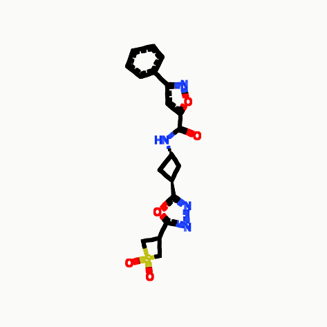 O=C(N[C@H]1C[C@H](c2nnc(C3CS(=O)(=O)C3)o2)C1)c1cc(-c2ccccc2)no1